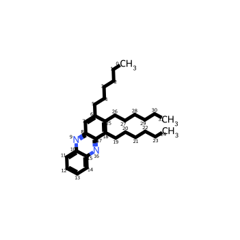 CCCCCCc1cc2nc3ccccc3nc2c(CCCCCC)c1CCCCCC